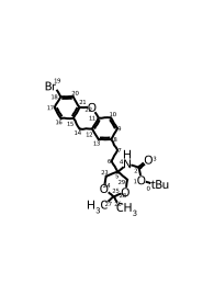 CC(C)(C)OC(=O)NC1(CCc2ccc3c(c2)Cc2ccc(Br)cc2O3)COC(C)(C)OC1